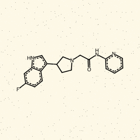 O=C(CN1CCC(c2c[nH]c3cc(F)ccc23)C1)Nc1ccccn1